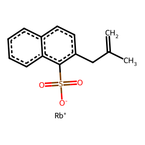 C=C(C)Cc1ccc2ccccc2c1S(=O)(=O)[O-].[Rb+]